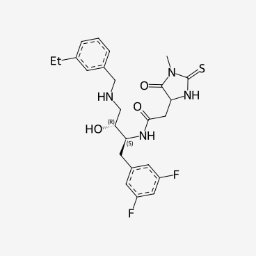 CCc1cccc(CNC[C@@H](O)[C@H](Cc2cc(F)cc(F)c2)NC(=O)CC2NC(=S)N(C)C2=O)c1